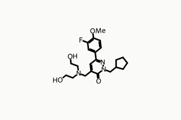 COc1ccc(-c2cc(CN(CCO)CCO)c(=O)n(CC3CCCC3)n2)cc1F